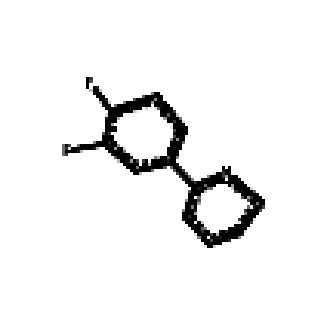 Fc1ccc(-c2ccccn2)cc1F